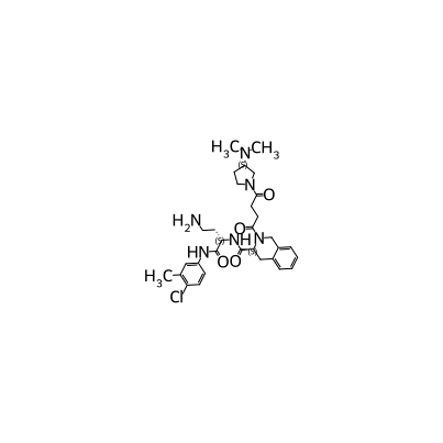 Cc1cc(NC(=O)[C@H](CCN)NC(=O)[C@@H]2Cc3ccccc3CN2C(=O)CCC(=O)N2CC[C@H](N(C)C)C2)ccc1Cl